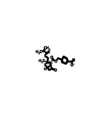 CN(C)C(=S)SC[C@]1(C)S[C@H]2CC(=O)N2[C@H]1C(=O)OCc1ccc([N+](=O)[O-])cc1